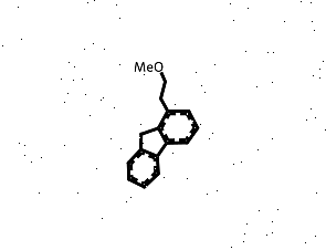 COCCc1cccc2c1Cc1ccccc1-2